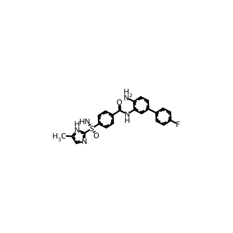 Cc1cnc(S(=N)(=O)c2ccc(C(=O)Nc3cc(-c4ccc(F)cc4)ccc3N)cc2)[nH]1